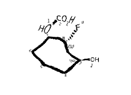 O=C(O)O.O[C@H]1CCCC[C@@H]1F